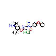 CNc1ccc(Oc2ccc(NC(=O)c3ccc(Oc4ccccc4)cc3)cn2)c(C)c1.Cl